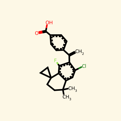 C=C(c1ccc(C(=O)O)cc1)c1c(Cl)cc2c(c1F)C1(CCC2(C)C)CC1